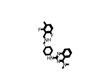 Cc1ccc(F)c(CNC[C@H]2CC[C@@H](Nc3nc(N(C)C)c4ccccc4n3)CC2)c1F